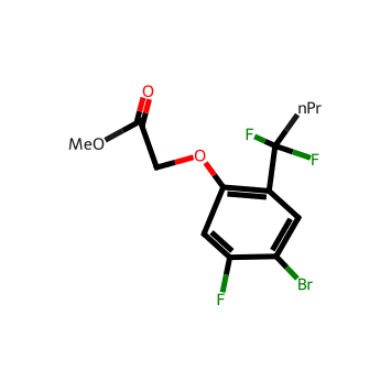 CCCC(F)(F)c1cc(Br)c(F)cc1OCC(=O)OC